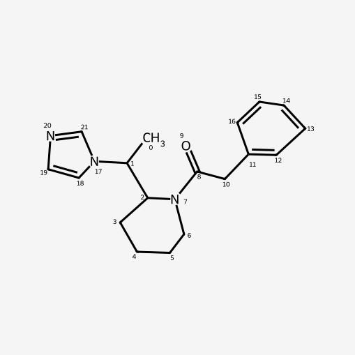 CC(C1CCCCN1C(=O)Cc1ccccc1)n1ccnc1